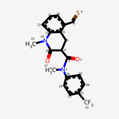 CN(C(=O)C1Cc2c(C=S)cccc2N(C)C1=O)c1ccc(C(F)(F)F)cc1